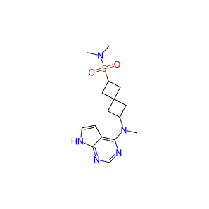 CN(c1ncnc2[nH]ccc12)C1CC2(C1)CC(S(=O)(=O)N(C)C)C2